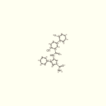 NC(=O)c1cc(NC(=O)c2cc(-c3ncccc3F)ccc2Cl)n(-c2ccccc2)n1